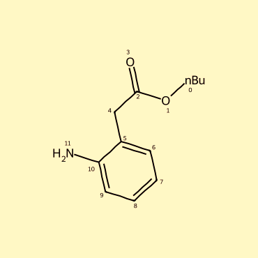 CCCCOC(=O)Cc1ccccc1N